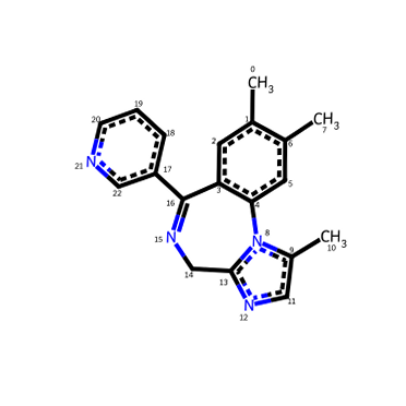 Cc1cc2c(cc1C)-n1c(C)cnc1CN=C2c1cccnc1